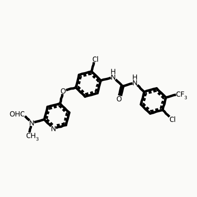 CN(C=O)c1cc(Oc2ccc(NC(=O)Nc3ccc(Cl)c(C(F)(F)F)c3)c(Cl)c2)ccn1